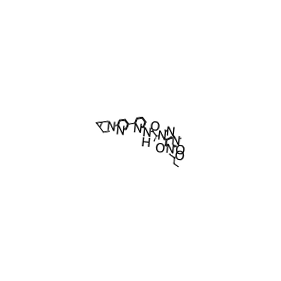 CCC(=O)Cn1c(=O)c2c(ncn2[C@@H](C)C(=O)Nc2cccc(-c3ccc(N4CCC5CC5C4)nc3)n2)n(C)c1=O